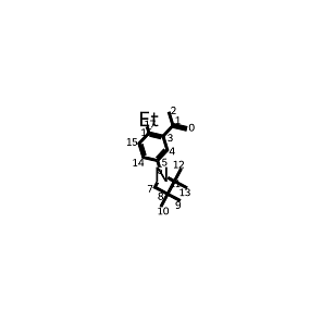 C=C(C)c1cc(N2CC(C)(C)C2(C)C)ccc1CC